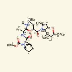 CCCCOC(=O)N1C2CCC(C2)C1C(=O)N[C@H](C(=O)N(C)[C@@H]([C@@H](C)CC)[C@@H](CC(=O)N1CCC[C@H]1[C@H](OC)[C@@H](C)C(=O)OC)OC)C(C)C